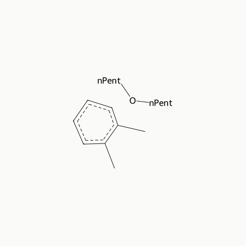 CCCCCOCCCCC.Cc1ccccc1C